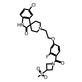 CS(=O)(=O)C1CN(C(=O)c2ccc(OCCN3CCC4(CC3)C(=O)Nc3ccc(Cl)cc34)cc2F)C1